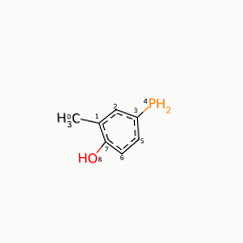 Cc1cc(P)ccc1O